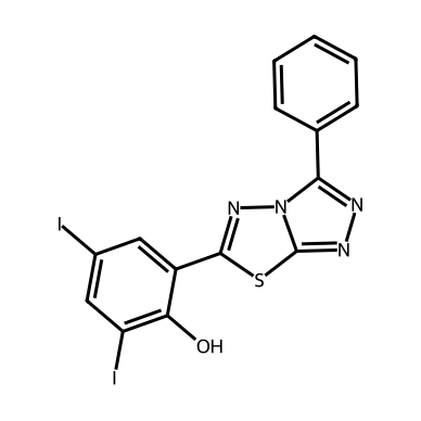 Oc1c(I)cc(I)cc1-c1nn2c(-c3ccccc3)nnc2s1